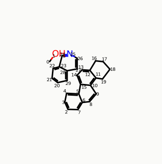 CO.c1ccc2c(c1)ccc1c3c(ccc12)CCCC3.c1ccc2cnccc2c1